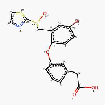 O=C(O)Cc1cccc(Oc2ccc(Br)cc2C[S+]([O-])c2nccs2)c1